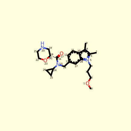 COCCCn1c(C)c(C)c2ccc(CN(C(=O)[C@H]3CNCCO3)C3CC3)cc21